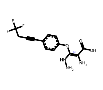 NN/C(Oc1ccc(C#CCC(F)(F)F)cc1)=C(\N)C(=O)O